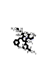 C=CNNC(C)(CCCC)/C(C)=C(\Cc1cccc(C(C)C)c1)CC(C)(/C=C(\C=C/C(C)C)C(C)F)c1cc(C(C)(F)F)ncn1